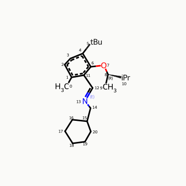 Cc1ccc(C(C)(C)C)c(O[C@H](C)C(C)C)c1/C=N/CC1CCCCC1